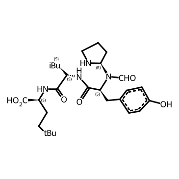 CC[C@H](C)[C@H](NC(=O)[C@H](Cc1ccc(O)cc1)N(C=O)[C@@H]1CCCN1)C(=O)N[C@@H](CCC(C)(C)C)C(=O)O